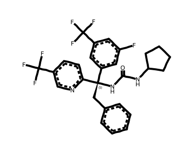 O=C(NC1CCCC1)N[C@@](Cc1ccccc1)(c1cc(F)cc(C(F)(F)F)c1)c1ccc(C(F)(F)F)cn1